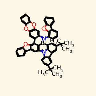 CC(C)(C)c1ccc2c(c1)c1cc(C(C)(C)C)cc3c1n2-c1cc2c(oc4ccccc42)c2c1B3N(c1cccc3c1oc1ccccc13)c1cc3c(cc1-2)Oc1ccccc1O3